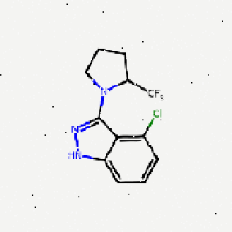 FC(F)(F)C1CCCN1c1n[nH]c2cccc(Cl)c12